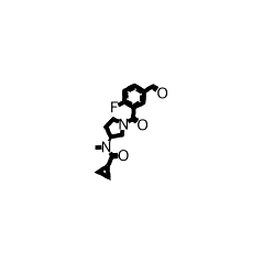 CN(C(=O)C1CC1)[C@H]1CCN(C(=O)c2cc(C=O)ccc2F)C1